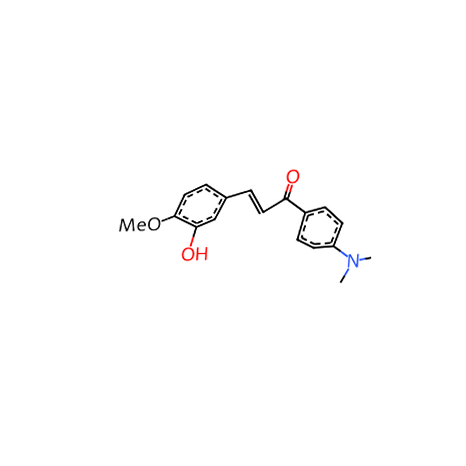 COc1ccc(C=CC(=O)c2ccc(N(C)C)cc2)cc1O